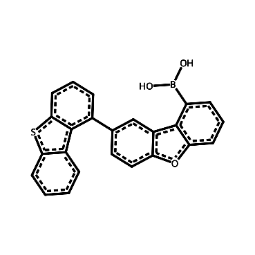 OB(O)c1cccc2oc3ccc(-c4cccc5sc6ccccc6c45)cc3c12